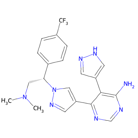 CN(C)C[C@H](c1ccc(C(F)(F)F)cc1)n1cc(-c2ncnc(N)c2-c2cn[nH]c2)cn1